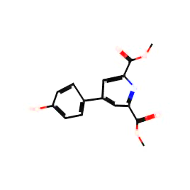 COC(=O)c1cc(-c2ccc(O)cc2)cc(C(=O)OC)n1